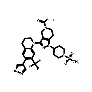 CC(=O)N1CCc2c(c(N3CCCc4cc(-c5cn[nH]c5)c(C(F)(F)F)cc43)nn2C2CCN(S(C)(=O)=O)CC2)C1